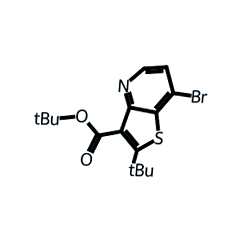 CC(C)(C)OC(=O)c1c(C(C)(C)C)sc2c(Br)ccnc12